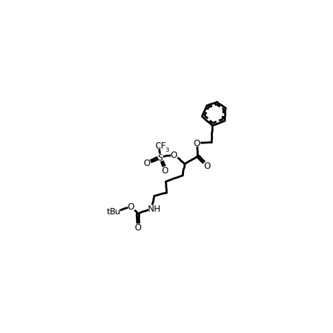 CC(C)(C)OC(=O)NCCCCC(OS(=O)(=O)C(F)(F)F)C(=O)OCc1ccccc1